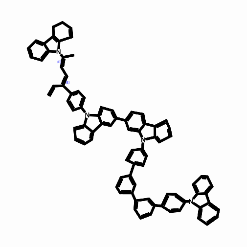 C=C/C(=C\C=C(/C)n1c2c(c3ccccc31)CCC=C2)c1ccc(-n2c3ccccc3c3cc(-c4ccc5c6ccccc6n(-c6ccc(-c7cccc(-c8cccc(-c9ccc(-n%10c%11ccccc%11c%11ccccc%11%10)cc9)c8)c7)cc6)c5c4)ccc32)cc1